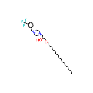 CCCCCCCCCCCCCCCCOCC(O)CN1CCN(Cc2cccc(C(F)(F)F)c2)CC1